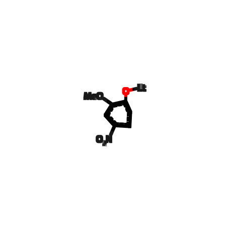 [CH2]COc1ccc([N+](=O)[O-])cc1OC